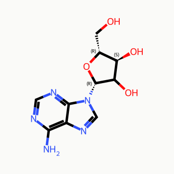 Nc1ncnc2c1ncn2[C@@H]1O[C@H](CO)[C@@H](O)C1O